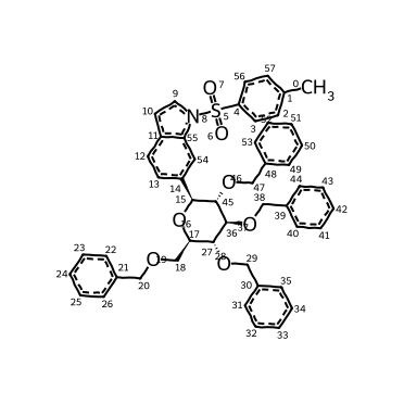 Cc1ccc(S(=O)(=O)n2ccc3ccc([C@@H]4O[C@H](COCc5ccccc5)[C@@H](OCc5ccccc5)[C@H](OCc5ccccc5)[C@H]4OCc4ccccc4)cc32)cc1